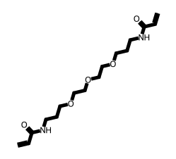 C=CC(=O)NCCCOCCOCCOCCCNC(=O)C=C